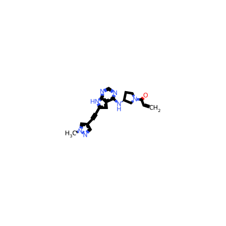 C=CC(=O)N1CC[C@@H](Nc2ncnc3[nH]c(C#Cc4cnn(C)c4)cc23)C1